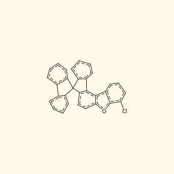 Clc1cccc2c1oc1ccc3c(c12)-c1ccccc1C31c2ccccc2-c2ccccc21